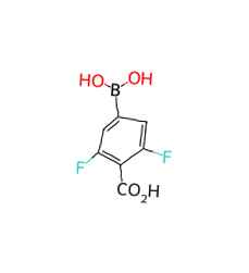 O=C(O)c1c(F)cc(B(O)O)cc1F